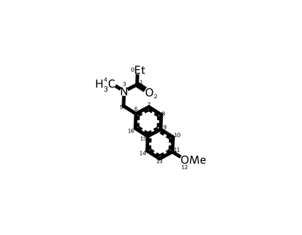 CCC(=O)N(C)Cc1ccc2cc(OC)ccc2c1